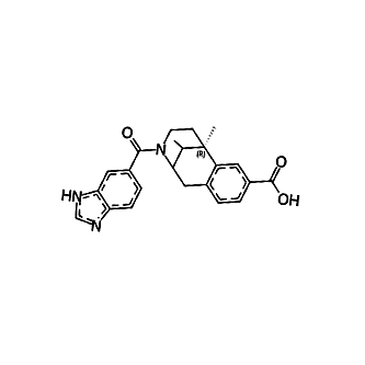 CC1C2Cc3ccc(C(=O)O)cc3[C@]1(C)CCN2C(=O)c1ccc2nc[nH]c2c1